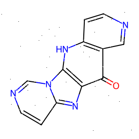 O=c1c2cnccc2[nH]c2c1nc1ccncn12